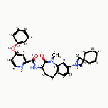 CN1C(=O)C(NC(=O)c2cc(Oc3ccccc3)ccn2)CCc2ccc(N3CC4(CCCCC4)C3)cc21